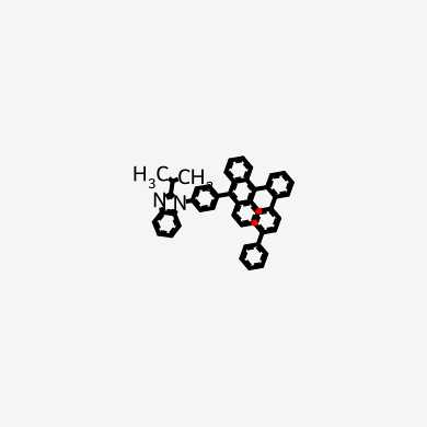 CC(C)c1nc2ccccc2n1-c1ccc(-c2c3ccccc3c(-c3ccccc3-c3ccc(-c4ccccc4)cc3)c3ccccc23)cc1